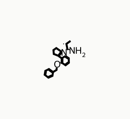 C[CH][C@@H](N)n1c2c(c3c(OCc4ccccc4)cccc31)CCC2